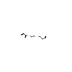 C=CC(=O)NCCOCCC(=O)O